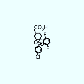 O=C(O)C[C@H]1CC[C@@](c2cc(F)ccc2F)(S(=O)(=O)c2ccc(Cl)cc2)CC1